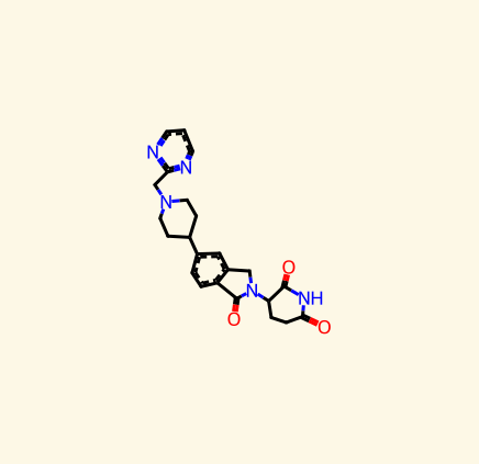 O=C1CCC(N2Cc3cc(C4CCN(Cc5ncccn5)CC4)ccc3C2=O)C(=O)N1